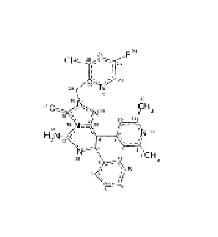 Cc1cc(-c2c(-c3ccccc3)nc(N)n3c(=O)n(Cc4ncc(F)cc4Cl)nc23)cc(C)n1